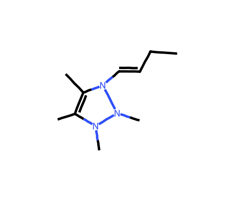 CCC=CN1C(C)=C(C)N(C)N1C